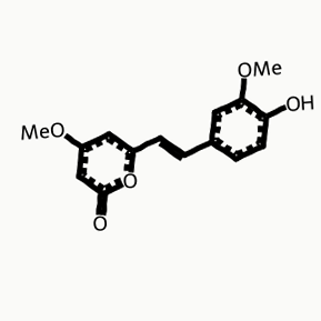 COc1cc(/C=C/c2ccc(O)c(OC)c2)oc(=O)c1